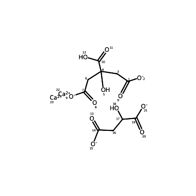 O=C([O-])CC(O)(CC(=O)[O-])C(=O)O.O=C([O-])CC(O)C(=O)[O-].[Ca+2].[Ca+2]